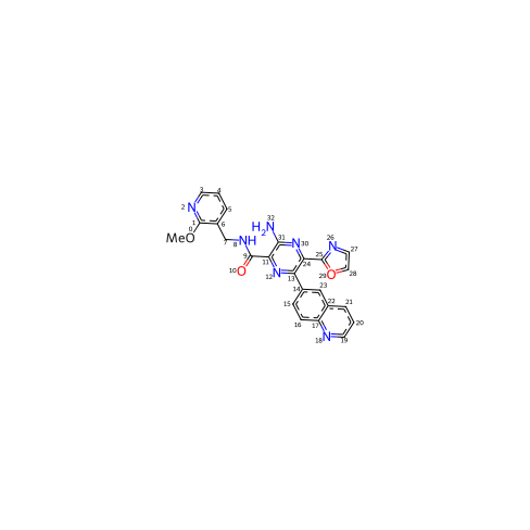 COc1ncccc1CNC(=O)c1nc(-c2ccc3ncccc3c2)c(-c2ncco2)nc1N